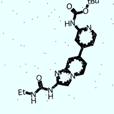 CCNC(=O)Nc1cn2ccc(-c3ccnc(NC(=O)OC(C)(C)C)c3)cc2n1